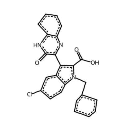 O=C(O)c1c(-c2nc3ccccc3[nH]c2=O)c2cc(Cl)ccc2n1Cc1ccccc1